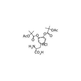 CC(=O)OC(C)(C)C(=O)Oc1ccc(C[C@H](N)C(=O)O)cc1OC(=O)C(C)(C)OC(C)=O.Cl